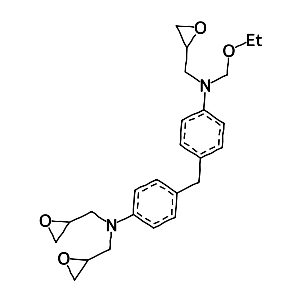 CCOCN(CC1CO1)c1ccc(Cc2ccc(N(CC3CO3)CC3CO3)cc2)cc1